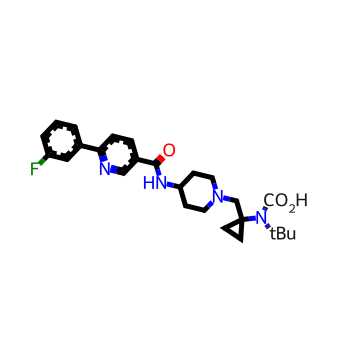 CC(C)(C)N(C(=O)O)C1(CN2CCC(NC(=O)c3ccc(-c4cccc(F)c4)nc3)CC2)CC1